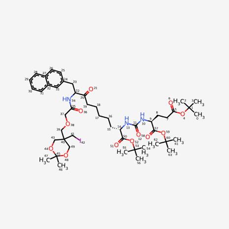 CC(C)(C)OC(=O)CC[C@H](NC(=O)N[C@@H](CCCCCC(=O)C(Cc1ccc2ccccc2c1)NC(=O)COCC1(CI)COC(C)(C)OC1)C(=O)OC(C)(C)C)C(=O)OC(C)(C)C